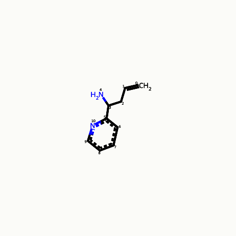 C=CCC(N)c1ccccn1